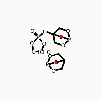 C1OP2OCC1CO2.O=COP(=O)(OO)OC12COP(OC1)OC2